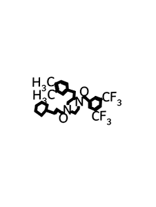 Cc1ccc(CC2CN(C(=O)/C=C/C3CCCCC3)CCN2C(=O)c2cc(C(F)(F)F)cc(C(F)(F)F)c2)cc1C